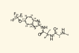 CNCC(=O)NC(C)(C)C(=O)Nc1nc2ccc(OC(F)(F)F)cc2s1